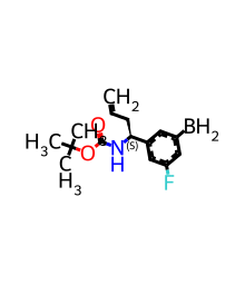 Bc1cc(F)cc([C@H](CC=C)NC(=O)OC(C)(C)C)c1